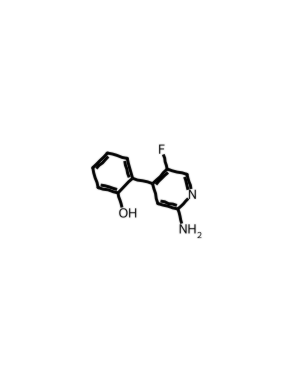 Nc1cc(-c2ccccc2O)c(F)cn1